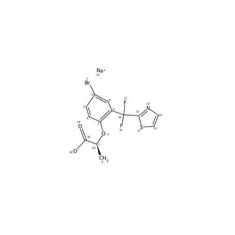 C[C@H](Oc1ccc(Br)cc1C(F)(F)c1nccs1)C(=O)[O-].[Na+]